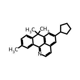 Cc1ccc2c(c1)-c1nccc3cc(C4CCCC4)cc(c13)C2(C)C